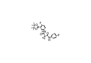 CC1(C)OB(c2cc(NC(=O)C3(C(=O)Nc4ccc(F)cc4)CC3)ccc2F)OC1(C)C